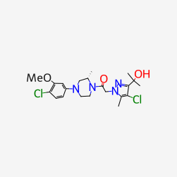 COc1cc(N2CCN(C(=O)Cn3nc(C(C)(C)O)c(Cl)c3C)[C@@H](C)C2)ccc1Cl